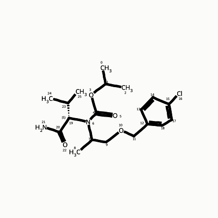 CC(C)OC(=O)N(C(C)COCc1ccc(Cl)cc1)[C@H](C(N)=O)C(C)C